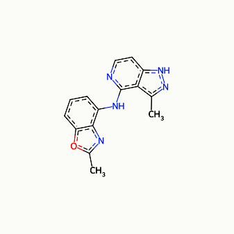 Cc1nc2c(Nc3nccc4[nH]nc(C)c34)cccc2o1